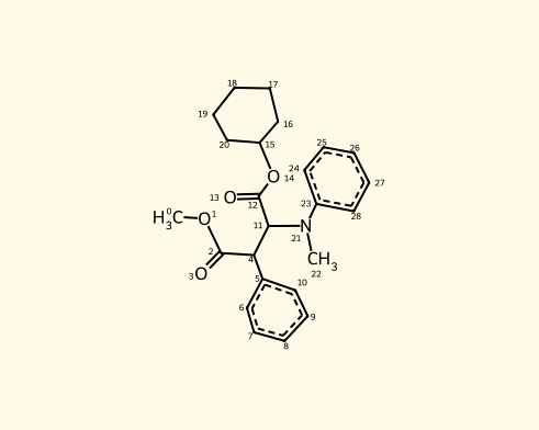 COC(=O)C(c1ccccc1)C(C(=O)OC1CCCCC1)N(C)c1ccccc1